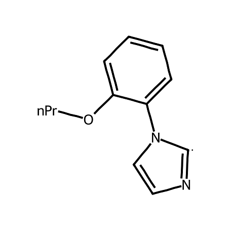 CCCOc1ccccc1-n1[c]ncc1